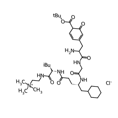 CC[C@H](C)[C@H](NC(=O)CC[C@@H](CC1CCCCC1)NC(=O)CNC(=O)C(N)CC1=CC(=O)C(C(=O)OC(C)(C)C)C=C1)C(=O)NCC[N+](C)(C)C.[Cl-]